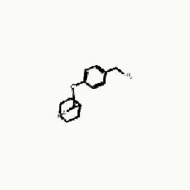 NCc1ccc(OC2CN3CCC2CC3)cc1